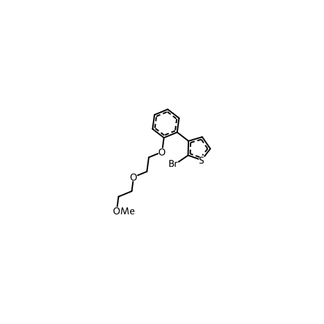 COCCOCCOc1ccccc1-c1ccsc1Br